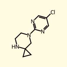 Clc1cnc(N2CCNC3(CC3)C2)nc1